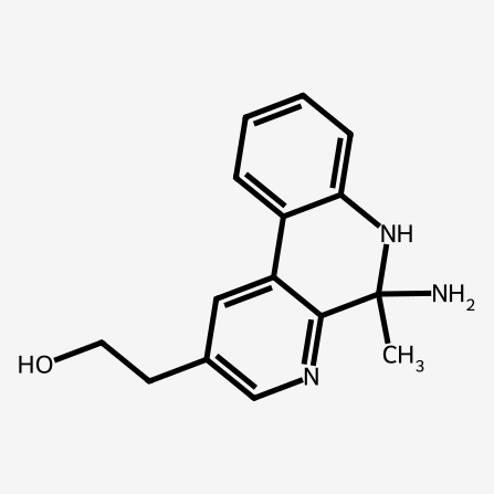 CC1(N)Nc2ccccc2-c2cc(CCO)cnc21